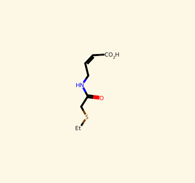 CCSCC(=O)NC/C=C\C(=O)O